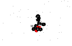 CC12C=C(c3nc(-c4ccccc4)nc(-c4ccc5c(c4)oc4ccccc45)n3)C=CC1c1ccccc1C21c2ccccc2-c2cccc3cccc1c23